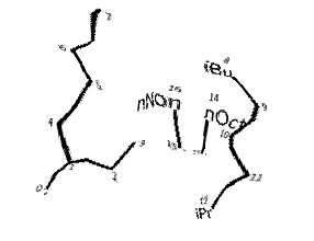 [CH2]C(CC)CCCC.[CH2]CC(C)CCCC(C)C.[CH2]CCCCCCCC.[CH2]CCCCCCCCC